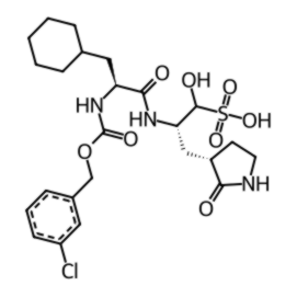 O=C(N[C@@H](CC1CCCCC1)C(=O)N[C@@H](C[C@@H]1CCNC1=O)C(O)S(=O)(=O)O)OCc1cccc(Cl)c1